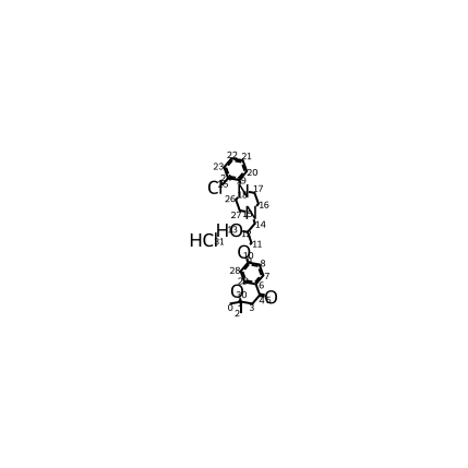 CC1(C)CC(=O)c2ccc(OCC(O)CN3CCN(c4ccccc4Cl)CC3)cc2O1.Cl